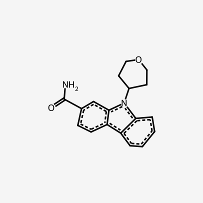 NC(=O)c1ccc2c3ccccc3n(C3CCOCC3)c2c1